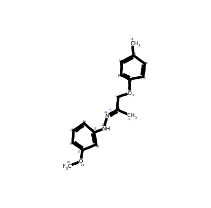 C/C(COc1ccc(C)cc1)=N\Nc1cccc(OC(F)(F)F)c1